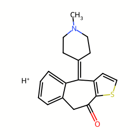 CN1CCC(=C2c3ccccc3CC(=O)c3sccc32)CC1.[H+]